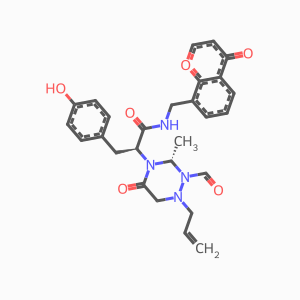 C=CCN1CC(=O)N([C@@H](Cc2ccc(O)cc2)C(=O)NCc2cccc3c(=O)ccoc23)[C@H](C)N1C=O